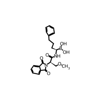 COC[C@H](C(=O)N[C@@H](CCCc1ccccc1)B(O)O)N1C(=O)c2ccccc2C1=O